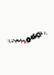 CCCCCCCCOc1ccc(-c2ccc(C3=CCC(C)CC3)cc2)cc1